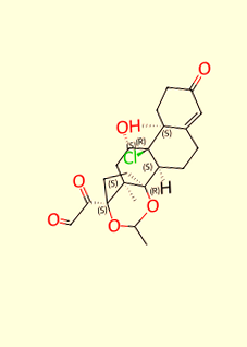 CC1O[C@@]2(C(=O)C=O)CC[C@@]3(O1)[C@@H]1CCC4=CC(=O)CC[C@]4(C)[C@@]1(Cl)[C@@H](O)C[C@]23C